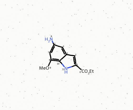 CCOC(=O)c1cc2cc(N)cc(OC)c2[nH]1